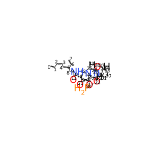 C=C/C=C\C=C(/C=C)CNC(=O)c1cn2c(c(OP)c1=O)C(=O)N1[C@@H](C2)OC[C@@H]2CCC[C@@H]21